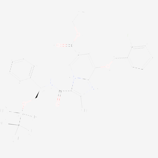 CCOC(=O)c1cc(OCc2ccccc2F)c2nc(C)c(C(=O)N[C@@H](CO[Si](C)(C)C(C)(C)C)c3ccccc3)n2c1